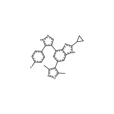 Cc1noc(C)c1-c1cc(-c2cn[nH]c2-c2ccc(F)cc2)c2nc(C3CC3)[nH]c2c1